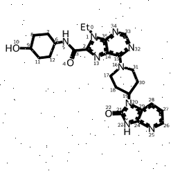 CCn1c(C(=O)NC2CCC(O)CC2)nc2c(N3CCC(n4c(=O)[nH]c5ncccc54)CC3)ncnc21